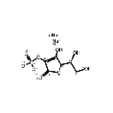 O=C1O[C@H]([C@@H](O)CO)C(O)=C1OP(=O)([O-])[O-].[Na+].[Na+]